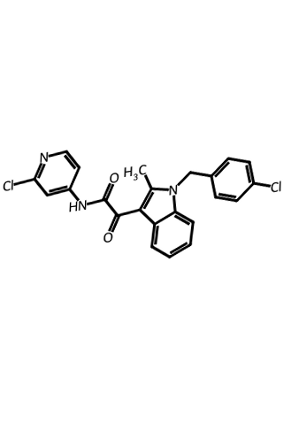 Cc1c(C(=O)C(=O)Nc2ccnc(Cl)c2)c2ccccc2n1Cc1ccc(Cl)cc1